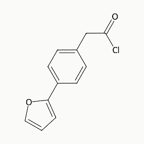 O=C(Cl)Cc1ccc(-c2ccco2)cc1